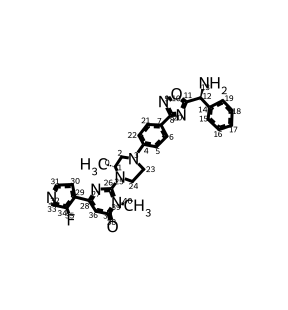 C[C@@H]1CN(c2ccc(-c3noc([C@@H](N)c4ccccc4)n3)cc2)CCN1c1nc(-c2ccncc2F)cc(=O)n1C